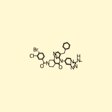 CNc1nnc2cc(-n3c(=O)c4c(n5ncc(Cc6ccccc6)c35)CN(C(=O)c3ccc(Br)c(Cl)c3)CC4)ccn12